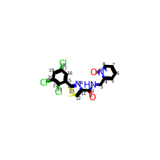 O=C(NCc1cccc[n+]1[O-])c1csc(-c2cc(Cl)cc(Cl)c2Cl)n1